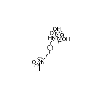 CC(=O)Nc1nc(CCCc2ccc(CCNC(N(C(=O)O)C(C)(C)C)N(C(=O)O)C(C)(C)C)cc2)cs1